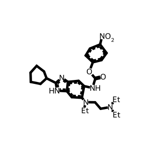 CCN(CC)CCN(CC)c1cc2[nH]c(C3CCCCC3)nc2cc1NC(=O)Oc1ccc([N+](=O)[O-])cc1